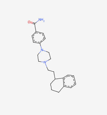 NC(=O)c1ccc(N2CCN(CCC3CCCc4ccccc43)CC2)cc1